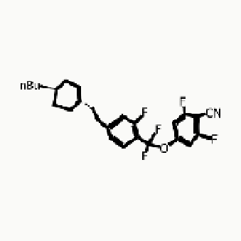 CCCC[C@H]1CC[C@H](CCc2ccc(C(F)(F)Oc3cc(F)c(C#N)c(F)c3)c(F)c2)CC1